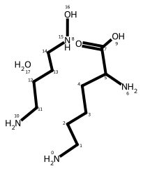 NCCCCC(N)C(=O)O.NCCCCNO.O